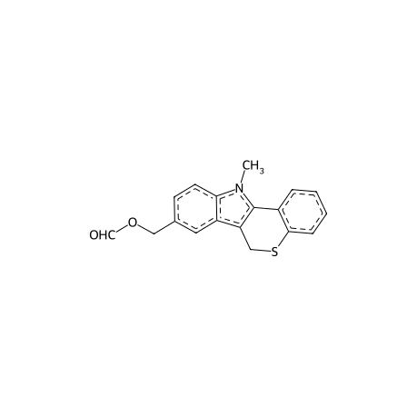 Cn1c2c(c3cc(COC=O)ccc31)CSc1ccccc1-2